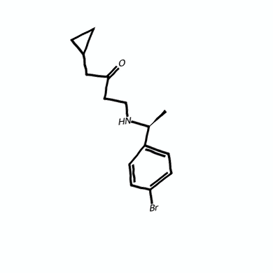 C[C@H](NCCC(=O)CC1CC1)c1ccc(Br)cc1